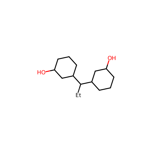 CCC(C1CCCC(O)C1)C1CCCC(O)C1